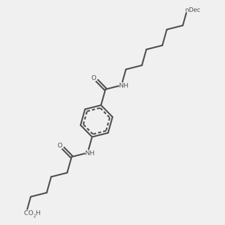 CCCCCCCCCCCCCCCCNC(=O)c1ccc(NC(=O)CCCCC(=O)O)cc1